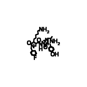 CC(N)CN1CN(NC(=O)C2CN(Cc3ccc(F)cc3)C(=O)C2CCCCCN)C(=O)[C@H]1Cc1ccc(O)cc1